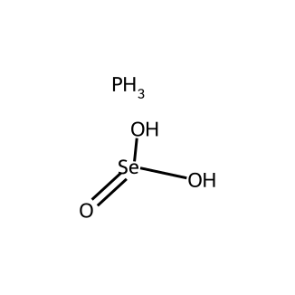 O=[Se](O)O.P